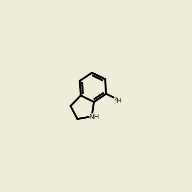 [2H]c1cccc2c1NCC2